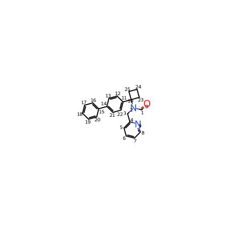 O=CN(Cc1ccccn1)C1(c2ccc(-c3ccccc3)cc2)CCC1